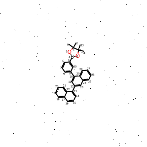 CC1(C)OB(c2cccc(-c3cc(-c4cccc5ccccc45)cc4ccccc34)c2)OC1(C)C